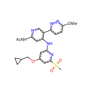 COc1ccc(-c2cnc(NC(C)=O)cc2Nc2cc(OCC3CC3)cc(S(C)(=O)=O)n2)nn1